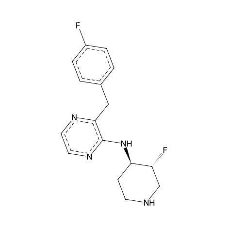 Fc1ccc(Cc2nccnc2N[C@@H]2CCNC[C@H]2F)cc1